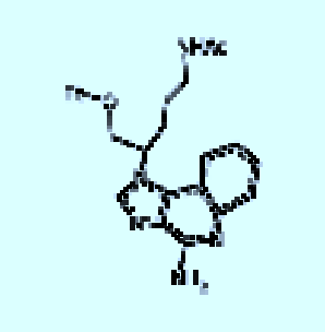 CCOCC(CCCNC(C)=O)n1cnc2c(N)nc3ccccc3c21